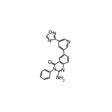 Nc1nc2ccc(-c3cncc(-c4ncon4)c3)cc2c(=O)n1-c1ccccc1